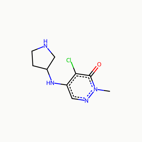 Cn1ncc(NC2CCNC2)c(Cl)c1=O